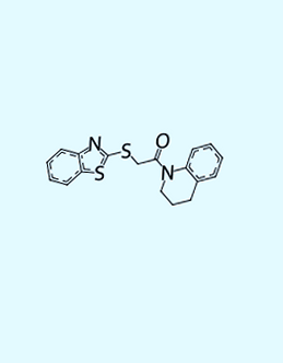 O=C(CSc1nc2ccccc2s1)N1CCCc2ccccc21